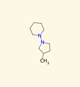 CC1CCN(N2CCCCC2)C1